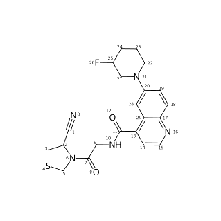 N#CC1CSCN1C(=O)CNC(=O)c1ccnc2ccc(N3CCCC(F)C3)cc12